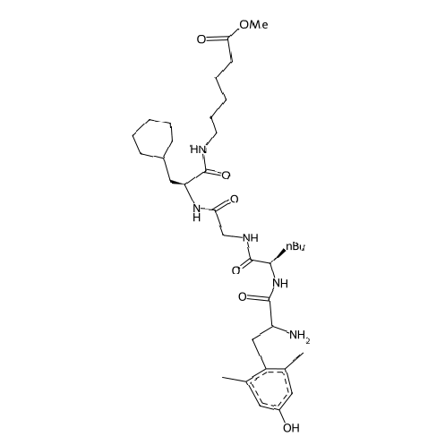 CCCC[C@@H](NC(=O)C(N)Cc1c(C)cc(O)cc1C)C(=O)NCC(=O)N[C@@H](CC1CCCCC1)C(=O)NCCCCCC(=O)OC